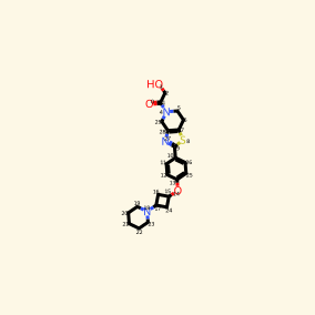 O=C(CO)N1CCc2sc(-c3ccc(OC4CC(N5CCCCC5)C4)cc3)nc2C1